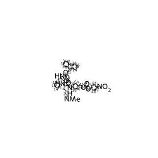 CNCCCC[C@H](NC(=O)[C@H](Cc1ccccc1)NC(=O)OCC1c2ccccc2-c2ccccc21)C(=O)Nc1ccc(COC(=O)Oc2ccc([N+](=O)[O-])cc2)cc1